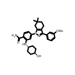 COc1cccc(-c2nn(-c3ccc(C(N)=O)c(N[C@H]4CC[C@H](O)CC4)c3)c3c2CCC(C)(C)C3)c1